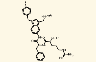 CCCNCc1cn(Cc2ccc(F)cc2)c2ccc(NC(=O)[C@H](Cc3ccccc3)NC(=O)[C@H](CCCNC(=N)N)NC(C)=O)cc12